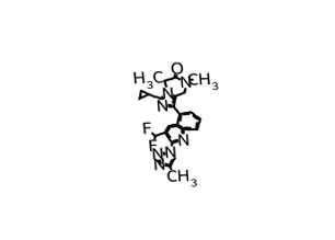 Cc1cn(-c2nc3cccc(-c4nc(C5CC5)n5c4CN(C)C(=O)[C@@H]5C)c3cc2C(F)F)nn1